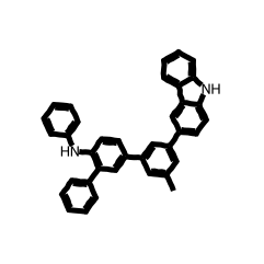 Cc1cc(-c2ccc(Nc3ccccc3)c(-c3ccccc3)c2)cc(-c2ccc3[nH]c4ccccc4c3c2)c1